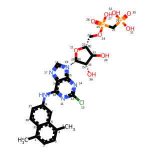 Cc1ccc(C)c2cc(Nc3nc(Cl)nc4c3ncn4[C@@H]3O[C@H](COP(=O)(O)CP(=O)(O)O)C(O)[C@@H]3O)ccc12